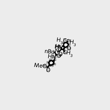 CCCCC(NC(=O)c1[nH]c2c(c1C)C(=O)CC(C)(C)C2)C(=O)NCc1ccc(C(=O)OC)cc1